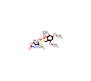 COc1cc(OC)c(CS(=O)(=O)SC(C)(C)C2COC(=O)N2)c(OC)c1